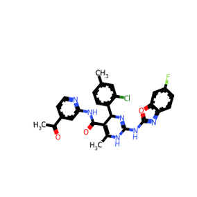 CC(=O)c1ccnc(NC(=O)C2=C(C)NC(Nc3nc4ccc(F)cc4o3)=NC2c2ccc(C)cc2Cl)c1